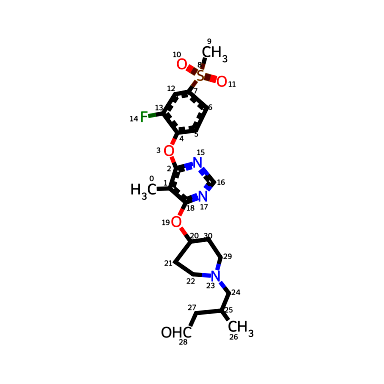 Cc1c(Oc2ccc(S(C)(=O)=O)cc2F)ncnc1OC1CCN(CC(C)CC=O)CC1